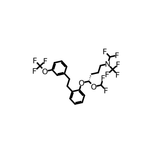 FC(F)O[C@@H](CCCN(C(F)F)C(F)(F)F)Oc1ccccc1CCc1cccc(OC(F)(F)F)c1